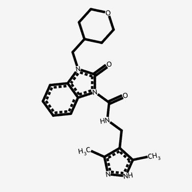 Cc1n[nH]c(C)c1CNC(=O)n1c(=O)n(CC2CCOCC2)c2ccccc21